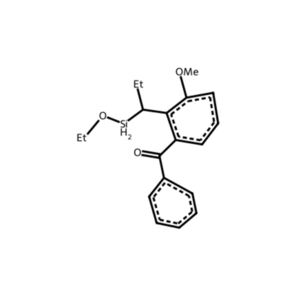 CCO[SiH2]C(CC)c1c(OC)cccc1C(=O)c1ccccc1